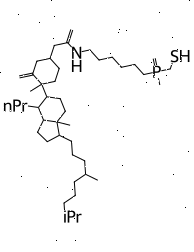 C=C(CC1CCC(C)(C2CCC3(C)C(CCCC(C)CCCC(C)C)CCC3C2CCC)C(=C)C1)NCCCCCCP(=C)(C)CS